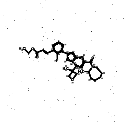 CCOC(=O)/C=C/c1cccc(-c2cc3nc(C(=O)N4CCCCC[C@H]4C)cc(C4(C)COC4)n3n2)c1F